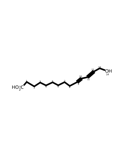 O=C(O)CCCCCCCCC#CC#CCO